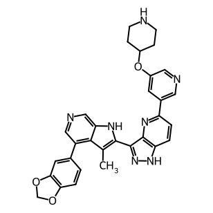 Cc1c(-c2n[nH]c3ccc(-c4cncc(OC5CCNCC5)c4)nc23)[nH]c2cncc(-c3ccc4c(c3)OCO4)c12